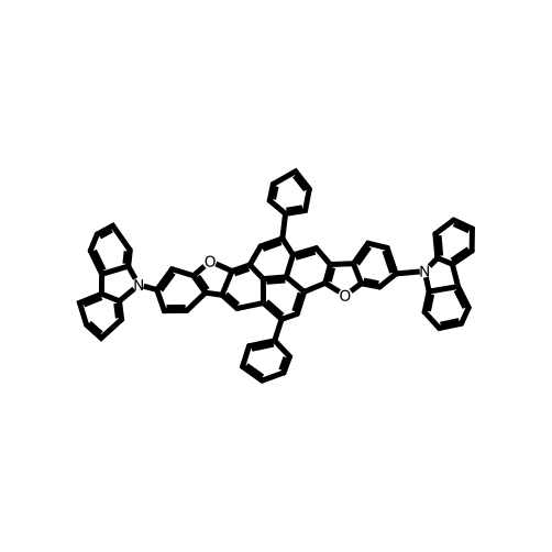 c1ccc(-c2cc3c4oc5cc(-n6c7ccccc7c7ccccc76)ccc5c4cc4c(-c5ccccc5)cc5c6oc7cc(-n8c9ccccc9c9ccccc98)ccc7c6cc2c5c43)cc1